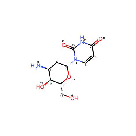 N[C@H]1C[C@H](n2ccc(=O)[nH]c2=O)O[C@H](CO)[C@H]1O